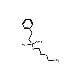 CO[Si](CCc1ccccc1)(OC)OCNCCN